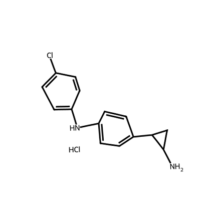 Cl.NC1CC1c1ccc(Nc2ccc(Cl)cc2)cc1